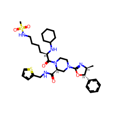 C[C@@H]1N=C(N2CCN(C(=O)[C@@H](CCCCNS(C)(=O)=O)NC3CCCCC3)[C@H](C(=O)NCc3cccs3)C2)O[C@H]1c1ccccc1